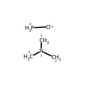 CN(C)C.PCl